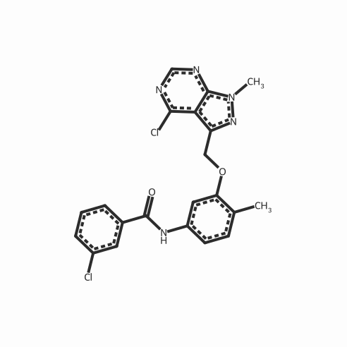 Cc1ccc(NC(=O)c2cccc(Cl)c2)cc1OCc1nn(C)c2ncnc(Cl)c12